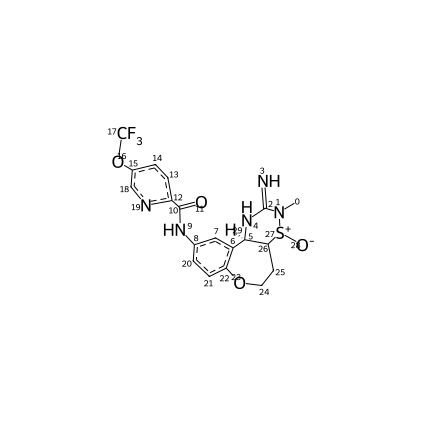 CN1C(=N)N[C@@H]2c3cc(NC(=O)c4ccc(OC(F)(F)F)cn4)ccc3OCCC2[S+]1[O-]